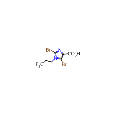 O=C(O)c1nc(Br)n(CCC(F)(F)F)c1Br